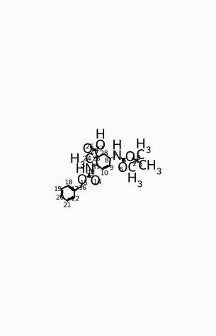 CC(C)(C)OC(=O)N[C@@H]1C=C[C@@H](NC(=O)OCc2ccccc2)[C@](C)(C(=O)O)C1